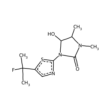 CC1C(O)N(c2ncc(C(C)(C)F)s2)C(=O)N1C